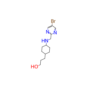 OCCCC1CCC(NCc2ncc(Br)cn2)CC1